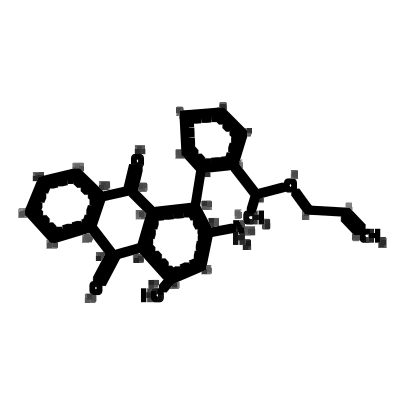 C=CCOC(C)c1ccccc1-c1c(N)cc(O)c2c1C(=O)c1ccccc1C2=O